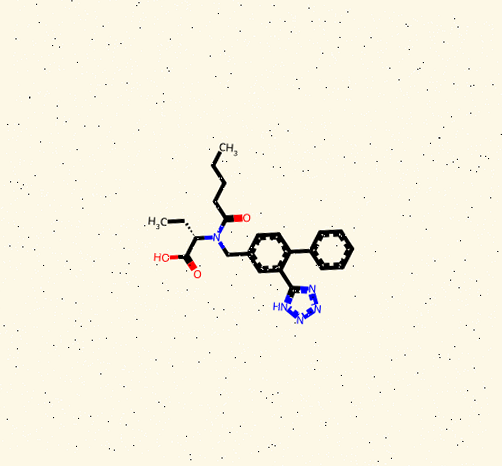 CCCCC(=O)N(Cc1ccc(-c2ccccc2)c(-c2nnn[nH]2)c1)[C@@H](CC)C(=O)O